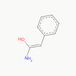 NC(O)=Cc1ccccc1